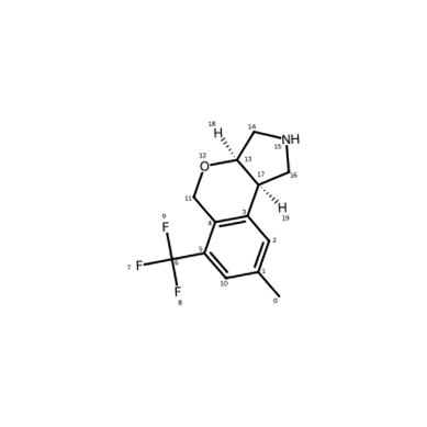 Cc1cc2c(c(C(F)(F)F)c1)CO[C@H]1CNC[C@@H]21